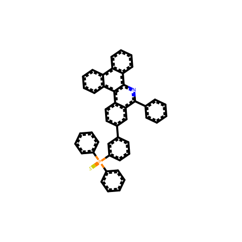 S=P(c1ccccc1)(c1ccccc1)c1cccc(-c2ccc3c(c2)c(-c2ccccc2)nc2c4ccccc4c4ccccc4c32)c1